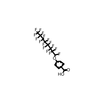 O=C(O)c1ccc(OC(F)C(F)(F)C(F)(F)C(F)(F)C(F)(F)C(F)(F)C(F)(F)C(F)(F)F)cc1